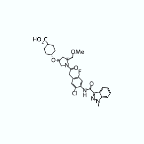 COC[C@@H]1C[C@@H](O[C@H]2CC[C@H](C(=O)O)CC2)CN1C(=O)Cc1cc(Cl)c(NC(=O)c2nn(C)c3ccccc23)cc1F